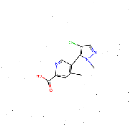 Cc1cc(C(=O)O)ncc1-c1c(Cl)cnn1C